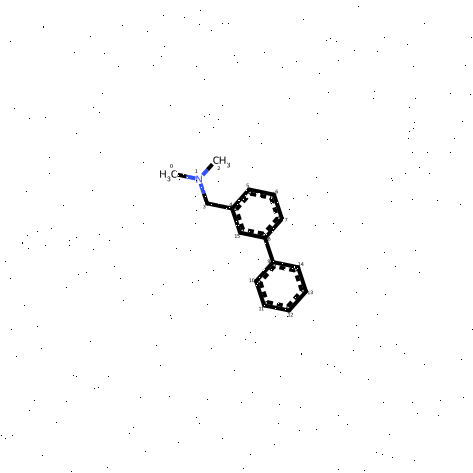 CN(C)Cc1[c]ccc(-c2ccccc2)c1